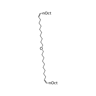 CCCCCCCC/C=C\CCCCCCCCCOCCCCCCCCC/C=C\CCCCCCCC